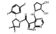 O=C(c1n[nH]c2ncnc(N[C@@H]3CC[C@@H](O)[C@H]3O)c12)N1CC(F)(F)C[C@@H]1c1cc(F)ccc1F